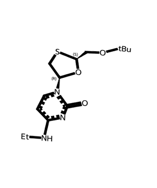 CCNc1ccn([C@H]2CS[C@@H](COC(C)(C)C)O2)c(=O)n1